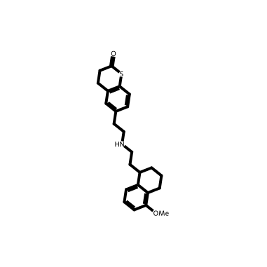 COc1cccc2c1CCCC2CCNCCc1ccc2c(c1)CCC(=O)S2